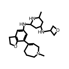 CC1CC(NC2COC2)CC(Nc2cc3c(c(C4=CCN(C)CCC4)c2)OCC3)N1